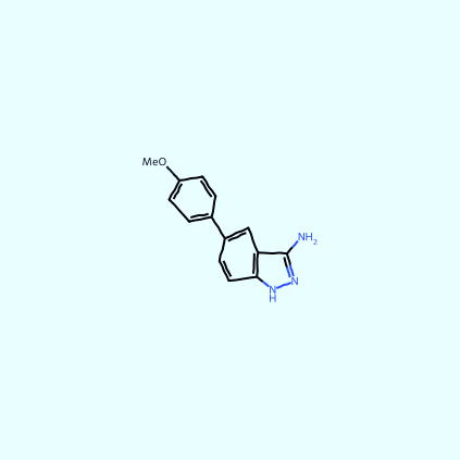 COc1ccc(-c2ccc3[nH]nc(N)c3c2)cc1